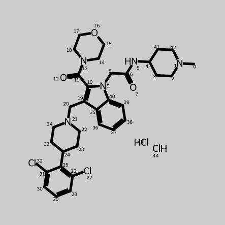 CN1CCC(NC(=O)Cn2c(C(=O)N3CCOCC3)c(CN3CCC(c4c(Cl)cccc4Cl)CC3)c3ccccc32)CC1.Cl.Cl